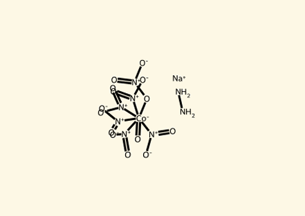 NN.O=[N+]([O-])[O][Co-](=[O])([N+](=O)[O-])([N+](=O)[O-])([N+](=O)[O-])([N+](=O)[O-])[N+](=O)[O-].[Na+]